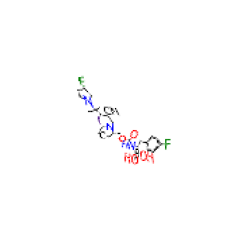 CC(C)(C(I)C(C#N)CN1CCCC[C@@H]1COC(=O)N[C@@H](Cc1ccc(F)cc1)B(O)O)N1CC[C@@H](F)C1